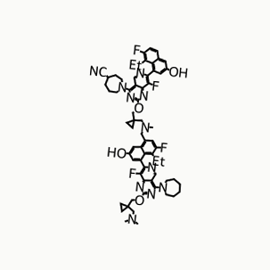 CCc1c(F)ccc2cc(O)cc(-c3ncc4c(N5CCCC(C#N)CC5)nc(OCC5(CN(C)Cc6cc(F)c(CC)c7c(-c8ncc9c(N%10CCCCCC%10)nc(OCC%10(CN(C)C)CC%10)nc9c8F)cc(O)cc67)CC5)nc4c3F)c12